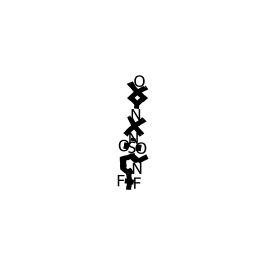 Cc1nc(C(C)(F)F)ccc1S(=O)(=O)N1CC2(CN(C3CC4(COC4)C3)C2)C1